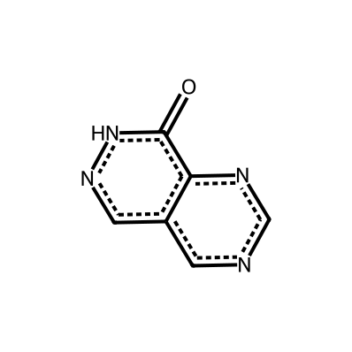 O=c1[nH]ncc2cncnc12